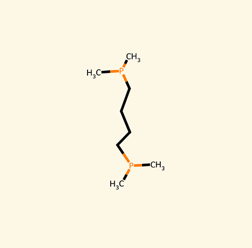 CP(C)CCCCP(C)C